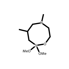 CO[Si]1(OC)CC(C)CN(C)CCO1